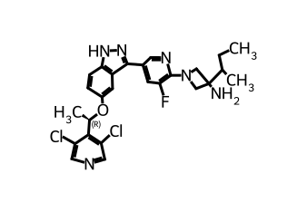 CCC(C)C1(N)CN(c2ncc(-c3n[nH]c4ccc(O[C@H](C)c5c(Cl)cncc5Cl)cc34)cc2F)C1